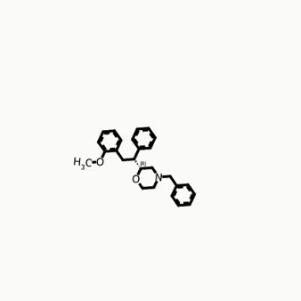 COc1ccccc1CC(c1ccccc1)[C@@H]1CN(Cc2ccccc2)CCO1